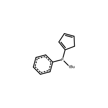 CC(C)(C)P(C1=CC=CC1)c1ccccc1